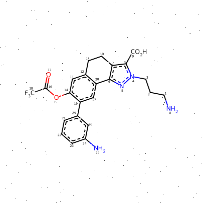 NCCCn1nc2c(c1C(=O)O)CCc1cc(OC(=O)C(F)(F)F)c(-c3cccc(N)c3)cc1-2